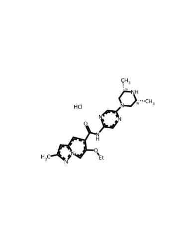 CCOc1cn2nc(C)cc2cc1C(=O)Nc1cnc(N2C[C@@H](C)N[C@@H](C)C2)cn1.Cl